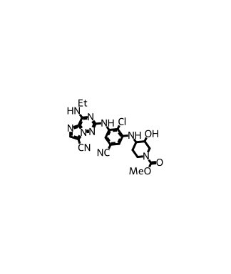 CCNc1nc(Nc2cc(C#N)cc(NC3CCN(C(=O)OC)CC3O)c2Cl)nn2c(C#N)cnc12